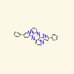 c1ccc(-c2ccc(/C3=N/c4cccnc4/C(c4ccc(-c5ccccc5)cn4)=N\c4cccnc43)nc2)cc1